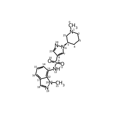 CN1CCC[C@@H](n2cc(S(=O)(=O)Nc3cccc4cnn(C)c34)cn2)C1